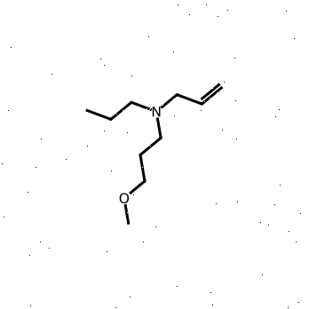 C=CCN(CCC)CCCOC